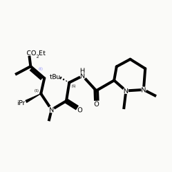 CCOC(=O)/C(C)=C/[C@H](C(C)C)N(C)C(=O)[C@@H](NC(=O)C1CCCN(C)N1C)C(C)(C)C